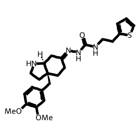 COc1ccc(C[C@@]23CCN[C@H]2CC(=NNC(=O)NCCc2cccs2)CC3)cc1OC